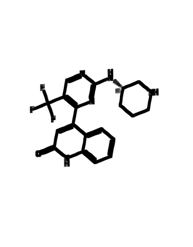 O=c1cc(-c2nc(N[C@H]3CCCNC3)ncc2C(F)(F)F)c2ccccc2[nH]1